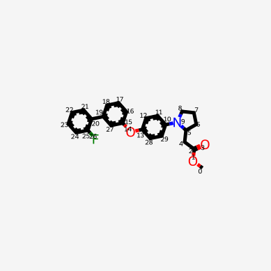 COC(=O)CC1CCCN1c1ccc(Oc2cccc(-c3ccccc3F)c2)cc1